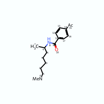 CNCCCCCC(C)NC(=O)c1ccc(C(C)=O)cc1